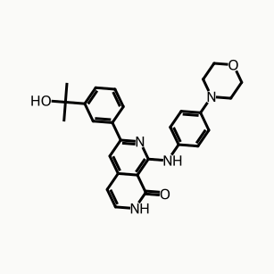 CC(C)(O)c1cccc(-c2cc3cc[nH]c(=O)c3c(Nc3ccc(N4CCOCC4)cc3)n2)c1